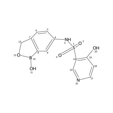 O=S(=O)(Nc1ccc2c(c1)B(O)OC2)c1cnccc1O